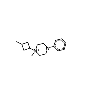 CC1CC([N+]2(C)CCN(c3ccccc3)CC2)C1